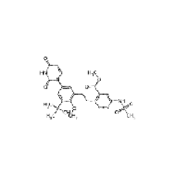 COC(=O)c1cc(NS(C)(=O)=O)ccc1CCc1cc(-n2ccc(=O)[nH]c2=O)cc(C(C)(C)C)c1OC